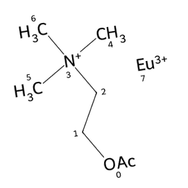 CC(=O)OCC[N+](C)(C)C.[Eu+3]